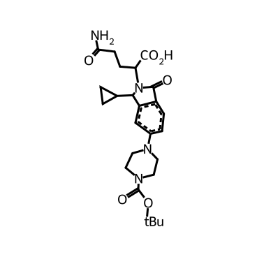 CC(C)(C)OC(=O)N1CCN(c2ccc3c(c2)C(C2CC2)N(C(CCC(N)=O)C(=O)O)C3=O)CC1